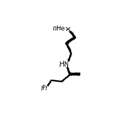 C=C(CCC(C)C)NCCCCCCCCC